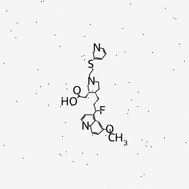 COc1ccc2nccc(C(F)CC[C@@H]3CCN(CCSc4cccnc4)C[C@@H]3CC(=O)O)c2c1